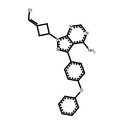 CCC=C1CC(n2nc(-c3ccc(Oc4ccccc4)cc3)c3c(N)ncnc32)C1